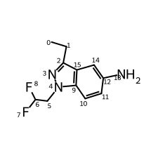 CCc1nn(CC(F)F)c2ccc(N)cc12